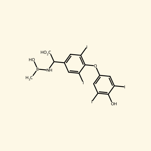 CB(O)NC(C(=O)O)c1cc(I)c(Oc2cc(I)c(O)c(I)c2)c(I)c1